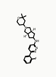 CC1(C)CC(N2C[C@H]3CC(Nc4ccc(-c5ccccc5F)nn4)C[C@H]3C2)CCO1